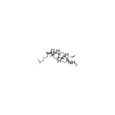 C=CC[C@@H]1[C@H](N)CC[C@@]2(C)[C@H]1CC[C@@H]1[C@@H]2CC[C@]2(C)[C@@H]([C@H](C)CCCC(C)C)CC[C@@H]12